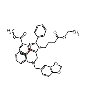 CCOC(=O)CCCn1c(-c2ccccc2)nc(-c2ccccc2)c1CN(Cc1ccc(C(=O)OC)cc1)Cc1ccc2c(c1)OCO2